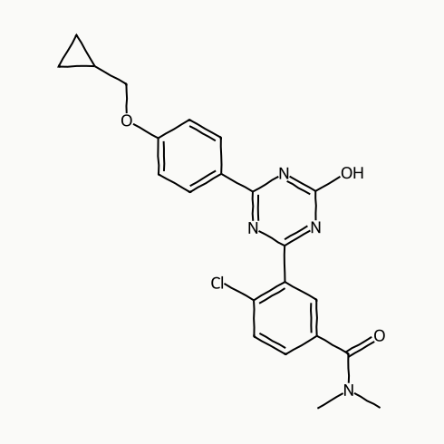 CN(C)C(=O)c1ccc(Cl)c(-c2nc(O)nc(-c3ccc(OCC4CC4)cc3)n2)c1